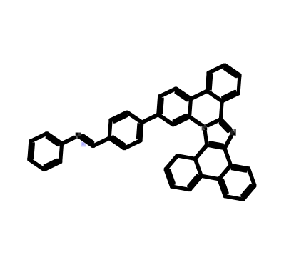 C1=CCC2C(=C1)c1ccccc1-c1nc3c4ccccc4c4ccc(-c5ccc(/C=N/c6ccccc6)cc5)cc4n3c12